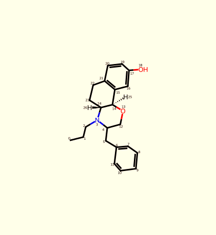 CCCN1C(Cc2ccccc2)CO[C@@H]2c3cc(O)ccc3CC[C@H]21